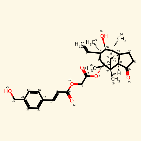 C=C[C@]1(C)C[C@@H](OC(=O)COC(=O)/C=C/c2ccc(CO)cc2)[C@]2(C)[C@H](C)CC[C@]3(CCC(=O)[C@H]32)[C@@H](C)[C@@H]1O